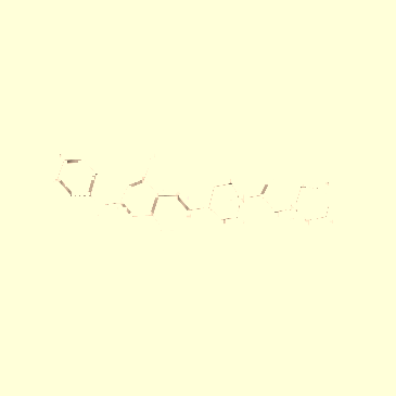 Cc1cc(Oc2ccccc2)cc(C)c1/C=C/C1CCN(C(=O)CN2CCOCC2)CC1